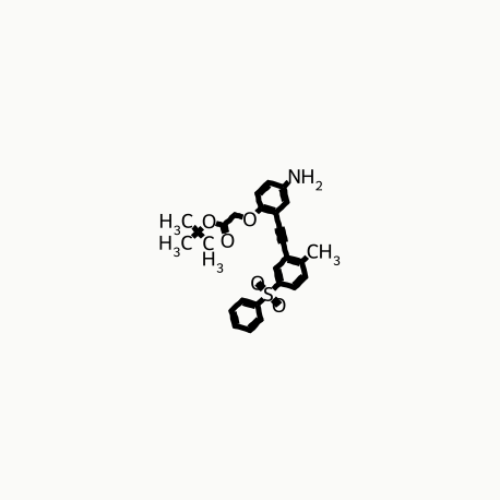 Cc1ccc(S(=O)(=O)c2ccccc2)cc1C#Cc1cc(N)ccc1OCC(=O)OC(C)(C)C